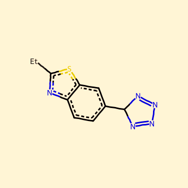 CCc1nc2ccc(C3N=NN=N3)cc2s1